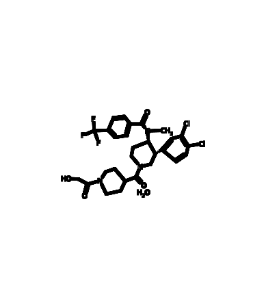 CN(C(=O)c1ccc(C(F)(F)F)cc1)[C@@H]1CCN(C(=O)C2CCN(C(=O)CO)CC2)C[C@H]1c1ccc(Cl)c(Cl)c1.O